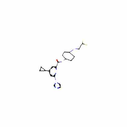 O=C(NC1CCC(NCC(F)F)CC1)c1cc(C2CC2)cc(-n2ccnc2)n1